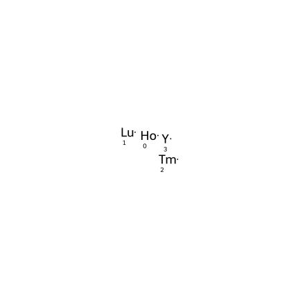 [Ho].[Lu].[Tm].[Y]